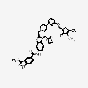 Cc1c(C#N)sc(COc2cccc(C3CCN(Cc4nc5cc(NC(=O)c6ccc7[nH]nc(C)c7c6)ccc5n4C[C@@H]4CCO4)CC3)n2)c1F